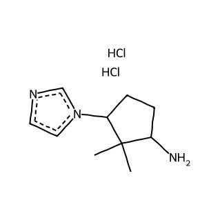 CC1(C)C(N)CCC1n1ccnc1.Cl.Cl